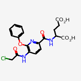 O=C(O)CCC(NC(=O)c1ccc(NC(=O)CCl)c(Oc2ccccc2)n1)C(=O)O